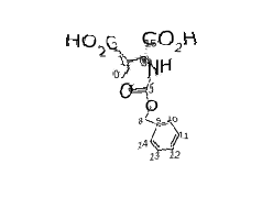 CC(C(=O)O)[C@@H](NC(=O)OCc1ccccc1)C(=O)O